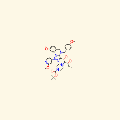 CCC(=O)C(C(=O)c1nn(-c2ccnc(OC)c2)nc1N(Cc1ccc(OC)cc1)Cc1ccc(OC)cc1)N1CCN(C(=O)OC(C)(C)C)CC1